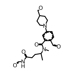 CC(CCC(=O)NC=O)N(C)C(=O)c1cc(N2CCC(C=O)CC2)ccc1C=O